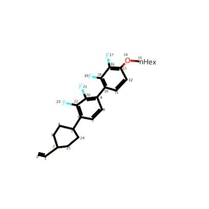 C=CC1CCC(c2ccc(-c3ccc(OCCCCCC)c(F)c3F)c(F)c2F)CC1